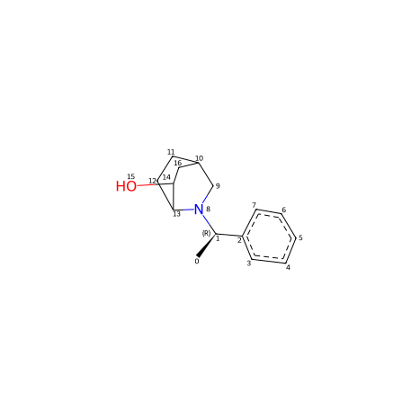 C[C@H](c1ccccc1)N1CC2CCC1C(O)C2